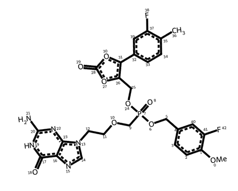 COc1ccc(COP(=O)(COCCn2cnc3c(=O)[nH]c(N)nc32)OCc2oc(=O)oc2-c2ccc(C)c(F)c2)cc1F